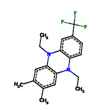 CCN1c2ccc(C(F)(F)F)cc2N(CC)c2cc(C)c(C)cc21